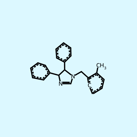 Cc1ccccc1CN1C=NC(c2ccccc2)C1c1ccccc1